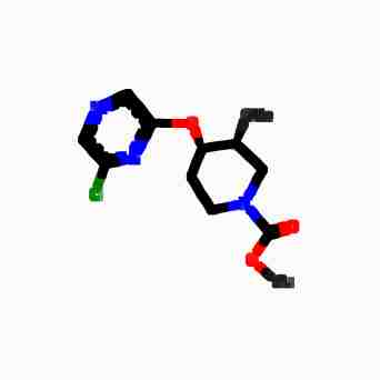 CO[C@H]1CN(C(=O)OC(C)(C)C)CC[C@H]1Oc1cncc(Cl)n1